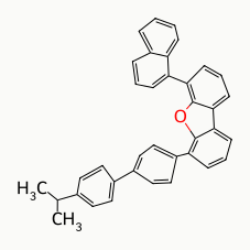 CC(C)c1ccc(-c2ccc(-c3cccc4c3oc3c(-c5cccc6ccccc56)cccc34)cc2)cc1